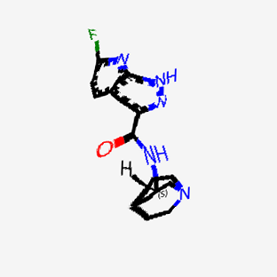 O=C(N[C@@H]1CN2CCC1CC2)c1n[nH]c2nc(F)ccc12